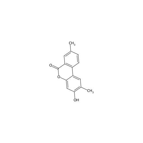 Cc1ccc2c(c1)c(=O)oc1cc(O)c(C)cc12